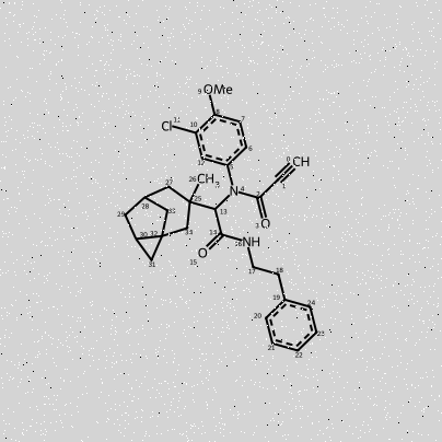 C#CC(=O)N(c1ccc(OC)c(Cl)c1)C(C(=O)NCCc1ccccc1)C1(C)CC2CC3CC3(C2)C1